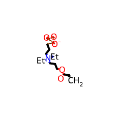 C=CC(=O)OCCC[N+](CC)(CC)CCCS(=O)(=O)[O-]